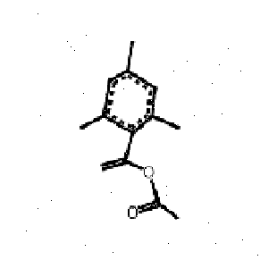 C=C(OC(C)=O)c1c(C)cc(C)cc1C